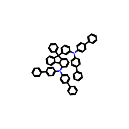 C1=CC(N(c2ccc(-c3ccccc3)cc2)c2ccc(-c3ccccc3)cc2)C2C(=C1)C(c1ccccc1)(c1cccc(N(c3ccc(-c4ccccc4)cc3)c3ccc(-c4ccccc4)cc3)c1)c1ccccc12